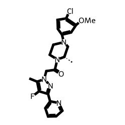 COc1cc(N2CCN(C(=O)Cn3nc(-c4ccccn4)c(F)c3C)[C@@H](C)C2)ccc1Cl